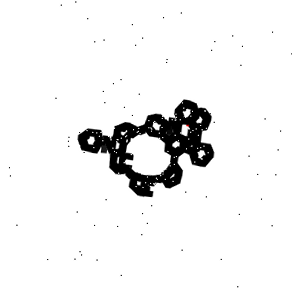 c1ccc(-n2c3ccc4cc3c3cc(ccc32)c2ccc3c(c2)c2cc(c5cccc(c5)c5cccc4c5)c4c5ccccc5n(-c5ccccc5)c4c2n3-c2ccccc2)cc1